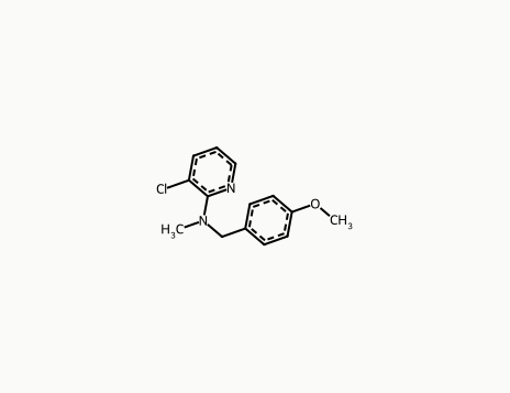 COc1ccc(CN(C)c2ncccc2Cl)cc1